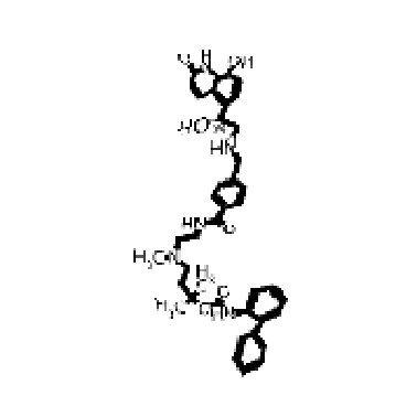 CN(CCNC(=O)c1ccc(CNC[C@H](O)c2ccc(O)c3[nH]c(=O)ccc23)cc1)CCC(C)(C)OC(=O)Nc1ccccc1-c1ccccc1